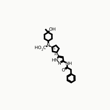 CC1(O)CCC(N(C(=O)O)[C@H]2CC[C@@H](c3cc(NC(=O)Cc4ccccc4)n[nH]3)C2)CC1